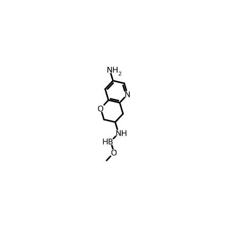 COBNC1COc2cc(N)cnc2C1